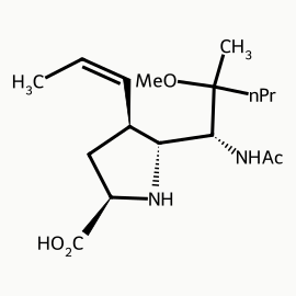 C/C=C\[C@@H]1C[C@H](C(=O)O)N[C@H]1[C@@H](NC(C)=O)C(C)(CCC)OC